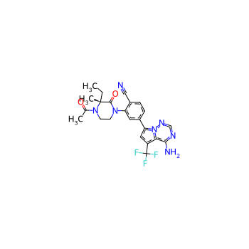 CC[C@]1(C)C(=O)N(c2cc(-c3cc(C(F)(F)F)c4c(N)ncnn34)ccc2C#N)CCN1C(C)=O